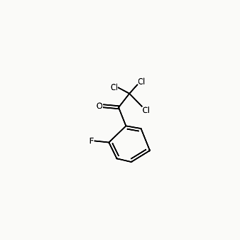 O=C(c1ccccc1F)C(Cl)(Cl)Cl